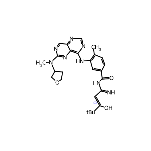 Cc1ccc(C(=O)NC(=N)/C=C(\O)C(C)(C)C)cc1Nc1ncnc2cnc(N(C)C3CCOC3)nc12